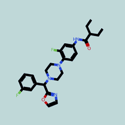 CCC(CC)C(=O)Nc1ccc(N2CCN(C(c3cccc(F)c3)c3ncco3)CC2)c(F)c1